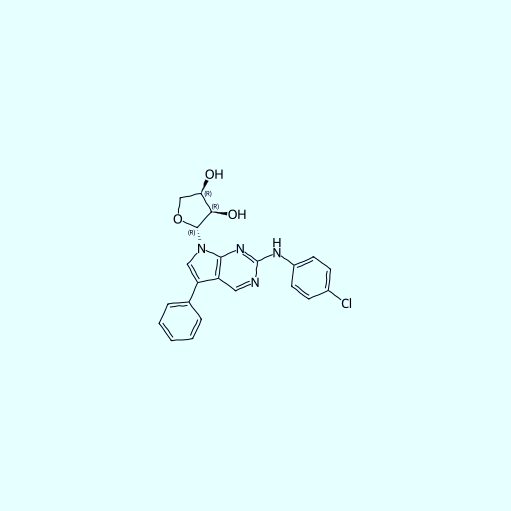 O[C@@H]1[C@H](O)CO[C@H]1n1cc(-c2ccccc2)c2cnc(Nc3ccc(Cl)cc3)nc21